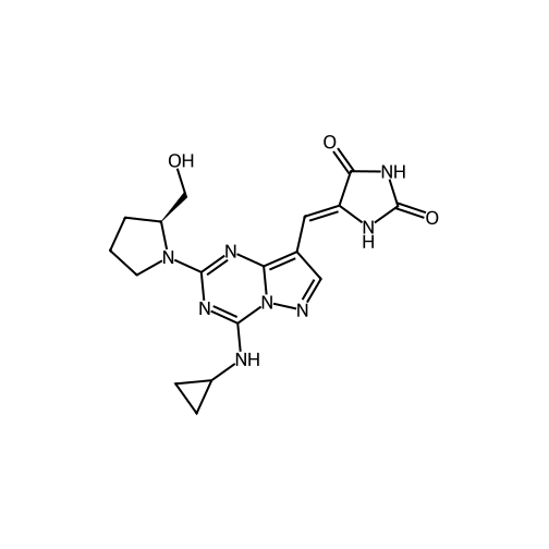 O=C1NC(=O)/C(=C/c2cnn3c(NC4CC4)nc(N4CCC[C@H]4CO)nc23)N1